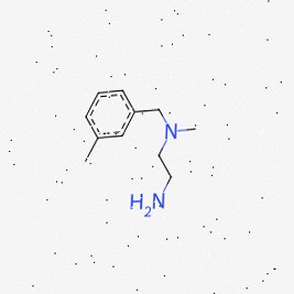 Cc1cccc(CN(C)CCN)c1